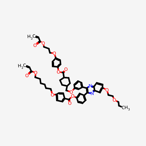 C=CC(=O)OCCCCCCOc1ccc(C(=O)Oc2cccc(-c3nc4cc(OCCOCCC)ccc4nc3-c3cccc(OCC4CCC(C(=O)Oc5ccc(OCCCOC(=O)C=C)cc5)CC4)c3)c2)cc1